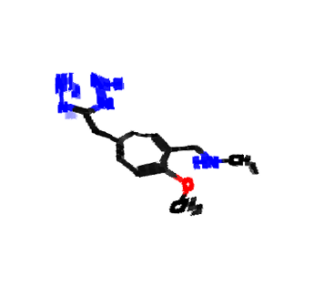 CNCC1=CCC(C/C(N=N)=N/N)=CC=C1OC